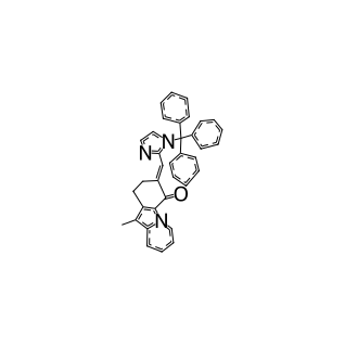 Cc1c2c(n3ccccc13)C(=O)C(=Cc1nccn1C(c1ccccc1)(c1ccccc1)c1ccccc1)CC2